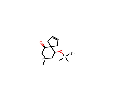 C[C@H]1CC(=O)C2(CC=CC2)C(O[Si](C)(C)C(C)(C)C)C1